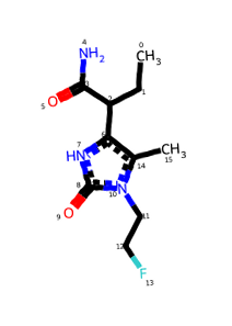 CCC(C(N)=O)c1[nH]c(=O)n(CCF)c1C